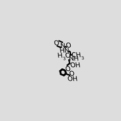 CC(C)(CNC(=O)N1CCOCC1)NCC(O)COc1ccccc1C(=O)O